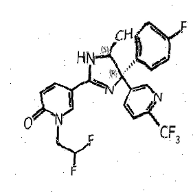 C[C@@H]1NC(c2ccc(=O)n(CC(F)F)c2)=N[C@]1(c1ccc(F)cc1)c1ccc(C(F)(F)F)nc1